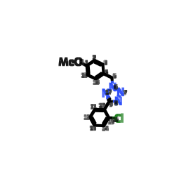 COc1ccc(Cn2nnc(-c3ccccc3Cl)n2)cc1